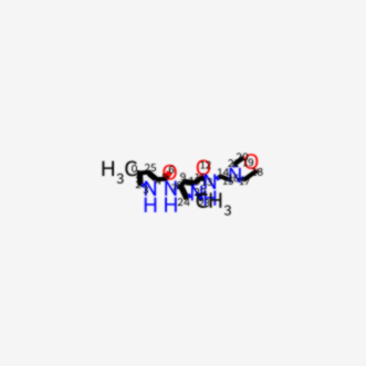 Cc1c[nH]c(C(=O)Nc2cc(C(=O)NCCN3CCOCC3)n(C)c2)c1